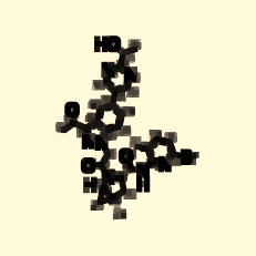 CC(=O)c1nn(CC(=O)N2[C@H](C(=O)Nc3nc(Br)ccc3C)C[C@@]3(C)C[C@@H]23)c2ccc(-c3cnc(C(C)O)nc3)cc12